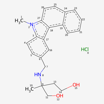 Cl.Cn1c2ccc(CNC(C)(CO)CCO)cc2c2c3ccccc3ccc21